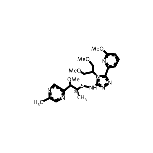 COCC(COC)n1c(NS[C@@H](C)C(OC)c2cnc(C)cn2)nnc1-c1cccc(OC)n1